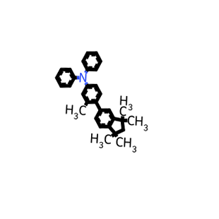 Cc1cc(N(c2ccccc2)c2ccccc2)ccc1-c1ccc2c(c1)C(C)(C)CC2(C)C